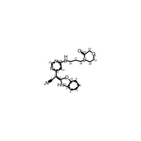 N#C/C(=C1\Nc2ccccc2O1)c1cc(NCCCN2CCOCC2=O)ncn1